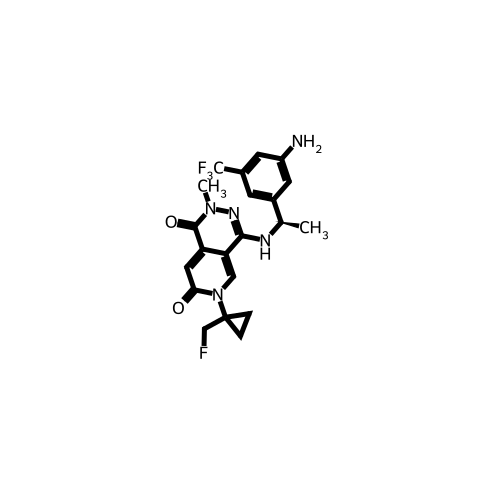 C[C@@H](Nc1nn(C)c(=O)c2cc(=O)n(C3(CF)CC3)cc12)c1cc(N)cc(C(F)(F)F)c1